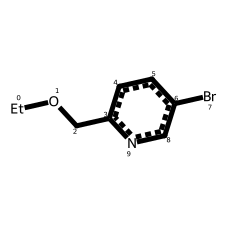 CCOCc1ccc(Br)cn1